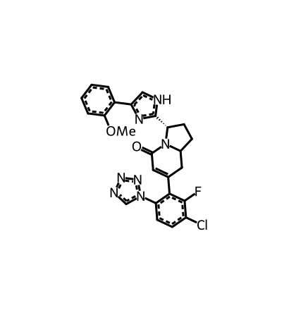 COc1ccccc1-c1c[nH]c([C@@H]2CCC3CC(c4c(-n5cnnn5)ccc(Cl)c4F)=CC(=O)N32)n1